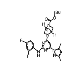 Cc1cc(C)n(-c2cc(N3C[C@H]4C[C@@H]3CN4C(=O)OC(C)(C)C)nc(Nc3ccc(F)cc3F)n2)n1